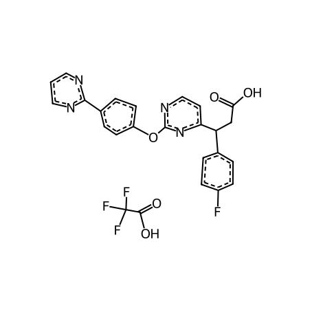 O=C(O)C(F)(F)F.O=C(O)CC(c1ccc(F)cc1)c1ccnc(Oc2ccc(-c3ncccn3)cc2)n1